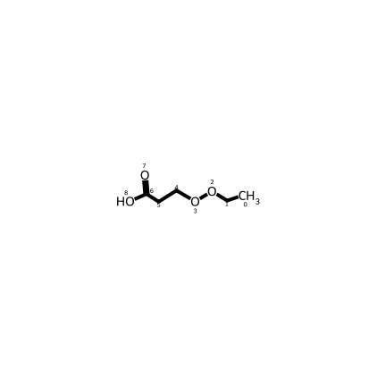 CCOOCCC(=O)O